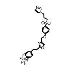 O=S(=O)(NCCn1ccnn1)c1ccc(OCc2coc(C=Cc3ccc(S(F)(F)(F)(F)F)cc3)n2)cc1